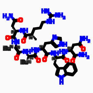 CC[C@H](C)[C@H](NC(=O)[C@H](CC(N)=O)NC(=O)[C@@H](C)CCCNC(=N)N)C(=O)N[C@H](C(=O)N[C@@H](Cc1c[nH]cn1)C(=O)N[C@@H](Cc1c[nH]c2ccccc12)C(=O)N[C@@H](CC(N)=O)C(N)=O)[C@@H](C)CC